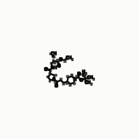 C#C[C@@H](CNC(=O)C1CCN(C(=O)CCC2CCN(C(=O)OC(C)(C)C)CC2)C1)C(=O)OCC